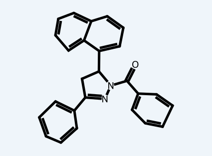 O=C(c1ccccc1)N1N=C(c2ccccc2)CC1c1cccc2ccccc12